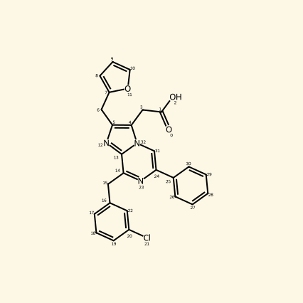 O=C(O)Cc1c(Cc2ccco2)nc2c(Cc3cccc(Cl)c3)nc(-c3ccccc3)cn12